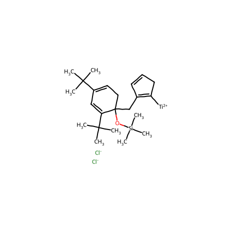 CC(C)(C)C1=CCC(CC2=[C]([Ti+2])CC=C2)(O[Si](C)(C)C)C(C(C)(C)C)=C1.[Cl-].[Cl-]